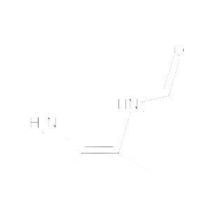 C/C(=C/N)NC=O